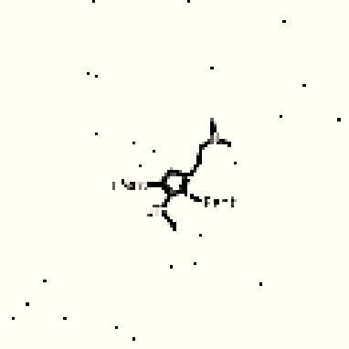 CCCC(C)C1=[C]([Ti]([CH3])[CH3])C(C(C)CCC)=C(CCN(C)C)C1